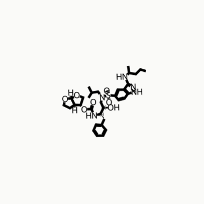 CCCC(C)Nc1n[nH]c2ccc(S(=O)(=O)N(CC(C)C)C[C@@H](O)[C@H](Cc3ccccc3)NC(=O)OC3CO[C@H]4OCC[C@@H]34)cc12